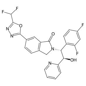 O=C1c2cc(-c3nnc(C(F)F)o3)ccc2CN1[C@H](c1ccc(F)cc1F)[C@@H](O)c1ccccn1